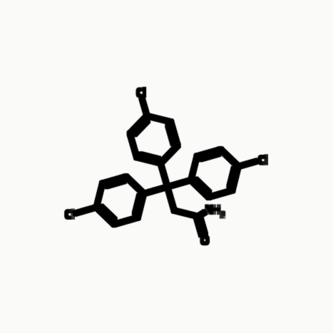 NC(=O)CC(c1ccc(Cl)cc1)(c1ccc(Cl)cc1)c1ccc(Cl)cc1